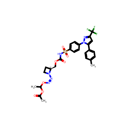 CC(=O)OC(C)O/N=N\N1CC[C@H]1COC(=O)NS(=O)(=O)c1ccc(-n2nc(C(F)(F)F)cc2-c2ccc(C)cc2)cc1